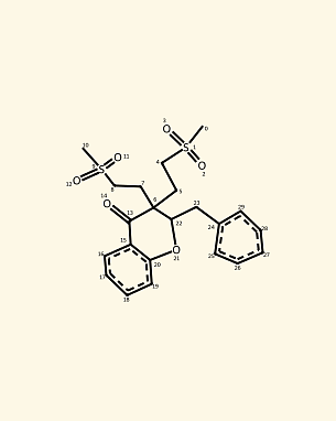 CS(=O)(=O)CCC1(CCS(C)(=O)=O)C(=O)c2ccccc2OC1Cc1ccccc1